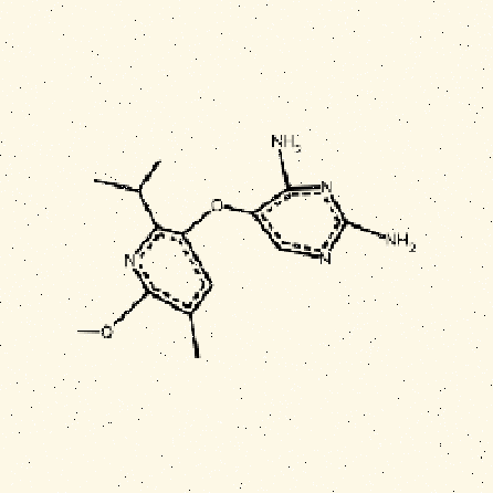 COc1nc(C(C)C)c(Oc2cnc(N)nc2N)cc1C